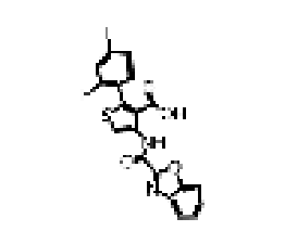 O=C(Nc1csc(-c2ccc(F)cc2F)c1C(=O)O)c1nc2ccccc2o1